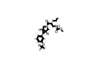 CCC[C@H](CNC(=O)OC)C(=O)N1C[C@@H]2[C@H](C1)[C@H]2c1cccc(OC(F)(F)F)c1